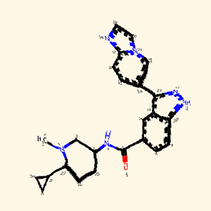 CN1CC(NC(=O)c2ccc3[nH]nc(-c4ccc5nccn5c4)c3c2)CCC1C1CC1